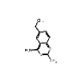 CCc1ccc2nc(C)nc(N)c2c1